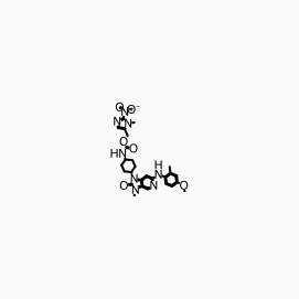 COc1ccc(Nc2cc3c(cn2)n(C)c(=O)n3C2CCC(NC(=O)OCc3cnc([N+](=O)[O-])n3C)CC2)c(C)c1